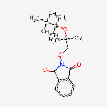 CC(C)(CON1C(=O)c2ccccc2C1=O)O[Si](C)(C)C(C)(C)C